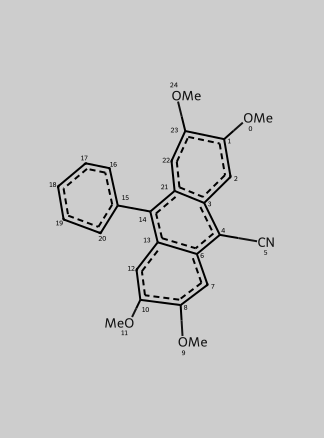 COc1cc2c(C#N)c3cc(OC)c(OC)cc3c(-c3ccccc3)c2cc1OC